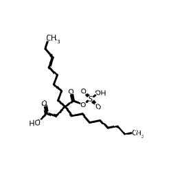 CCCCCCCCC(CCCCCCCC)(CC(=O)O)C(=O)OS(=O)(=O)O